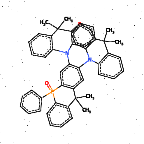 CC1(C)c2ccccc2N(c2cc3c(cc2N2c4ccccc4C(C)(C)c4ccccc42)P(=O)(c2ccccc2)c2ccccc2C3(C)C)c2ccccc21